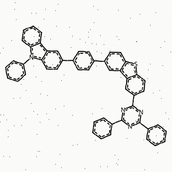 c1ccc(-c2nc(-c3ccccc3)nc(-c3ccc4sc5ccc(-c6ccc(-c7ccc8c(c7)c7ccccc7n8-c7ccccc7)cc6)cc5c4c3)n2)cc1